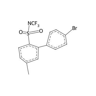 Cc1ccc(S(=O)(=O)NC(F)(F)F)c(-c2ccc(Br)cc2)c1